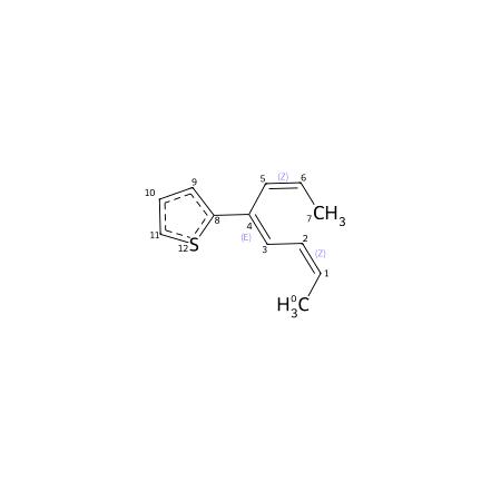 C\C=C/C=C(\C=C/C)c1cccs1